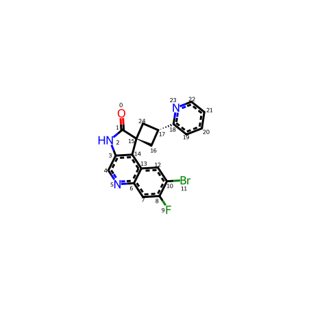 O=C1Nc2cnc3cc(F)c(Br)cc3c2[C@]12C[C@@H](c1ccccn1)C2